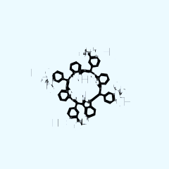 Cc1ccc(-c2c3nc(c(-c4ccc(C)c([N+](=O)[O-])c4)c4[nH]c(c(-c5ccc(C)c([N+](=O)[O-])c5)c5nc(c(-c6ccc(C)c([N+](=O)[O-])c6)c6[nH]c2c2ccccc62)-c2ccccc2-5)c2ccccc42)-c2ccccc2-3)cc1[N+](=O)[O-]